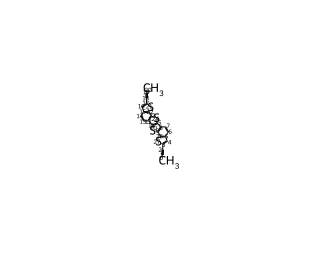 CC#Cc1cc2ccc3c(sc4c5ccc6cc(C#CC)sc6c5sc34)c2s1